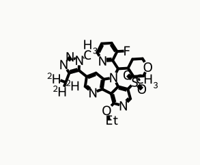 [2H]C([2H])([2H])c1nnn(C)c1-c1cnc2c3c(OCC)ncc(S(C)(=O)=O)c3n(C(c3ncccc3F)C3CCOCC3)c2c1